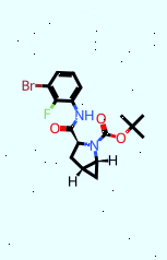 CC(C)(C)OC(=O)N1[C@@H]2C[C@@H]2C[C@H]1C(=O)Nc1cccc(Br)c1F